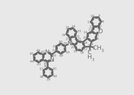 CC1(C)c2cc3oc4ccccc4c3cc2-c2c1ccc1c2c2ccccc2n1-c1ccc(-c2nc(-c3ccccc3)c3ccccc3n2)cc1